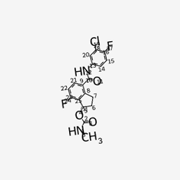 CNC(=O)O[C@H]1CCc2c(C(=O)Nc3ccc(F)c(Cl)c3)ccc(F)c21